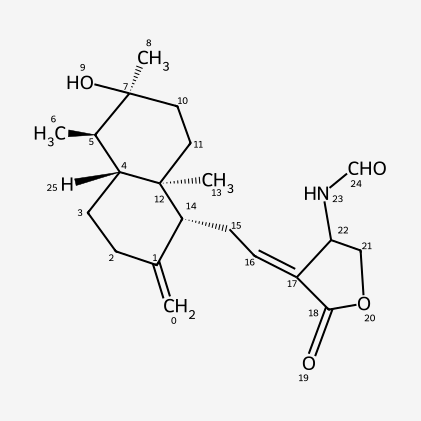 C=C1CC[C@@H]2[C@@H](C)[C@@](C)(O)CC[C@@]2(C)[C@@H]1C/C=C1/C(=O)OCC1NC=O